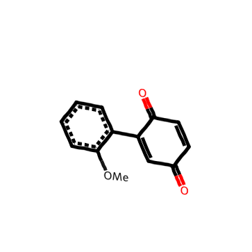 COc1ccccc1C1=CC(=O)C=CC1=O